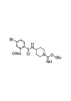 COc1cc(Br)ccc1[S+]([O-])NC1CCN(C(=N)OC(C)(C)C)CC1